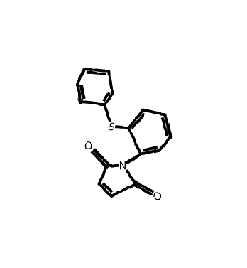 O=C1C=CC(=O)N1c1ccccc1Sc1ccccc1